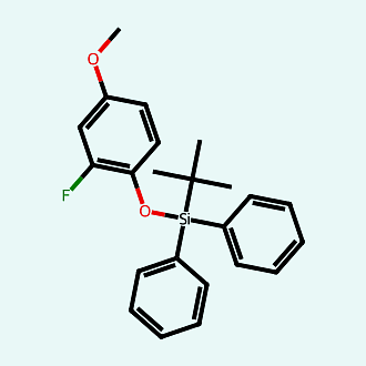 COc1ccc(O[Si](c2ccccc2)(c2ccccc2)C(C)(C)C)c(F)c1